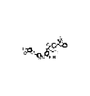 Br.Cn1c(C(=O)N2CCN(C(Cc3ccccc3)C3=COCO3)CC2)cc2cc(Oc3ccc(NCc4ccc(Cl)c(Cl)c4)cn3)ccc21